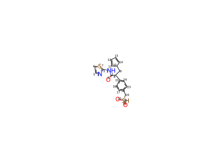 O=C(Nc1nccs1)C(CC1C=CC=C1)c1ccc(C[SH](=O)=O)cc1